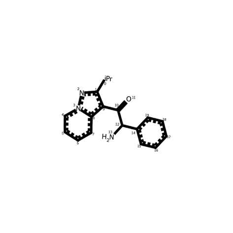 CC(C)c1nn2ccccc2c1C(=O)C(N)c1ccccc1